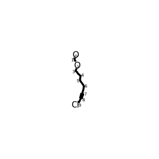 O=[C]OCCCCC#CCl